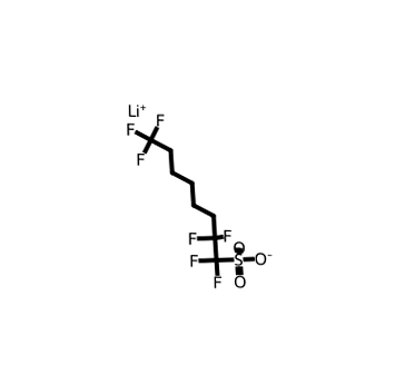 O=S(=O)([O-])C(F)(F)C(F)(F)CCCCCC(F)(F)F.[Li+]